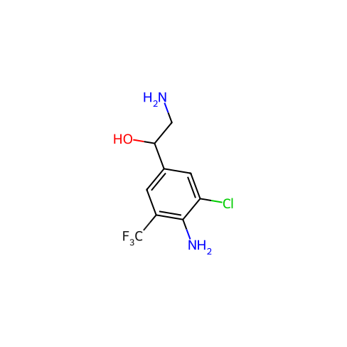 NCC(O)c1cc(Cl)c(N)c(C(F)(F)F)c1